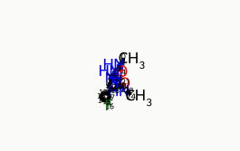 CCNC(=O)Nc1nc2cc(-c3cccc(F)c3)cc(C(=O)NCC)n2n1